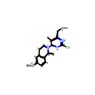 COCc1nc(Cl)nc(N2CCc3cc(OC)ccc3C2C)c1C